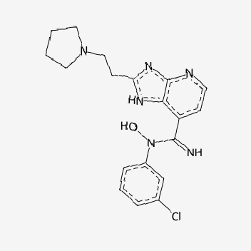 N=C(c1ccnc2nc(CCN3CCCC3)[nH]c12)N(O)c1cccc(Cl)c1